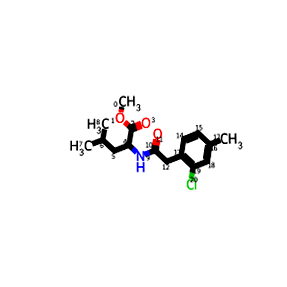 COC(=O)C(CC(C)C)NC(=O)Cc1ccc(C)cc1Cl